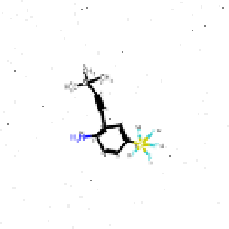 C[Si](C)(C)C#Cc1cc(S(F)(F)(F)(F)F)ccc1N